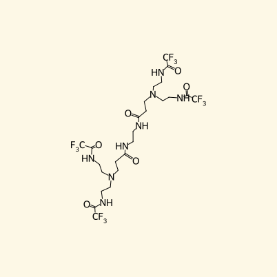 O=C(CCN(CCNC(=O)C(F)(F)F)CCNC(=O)C(F)(F)F)NCCNC(=O)CCN(CCNC(=O)C(F)(F)F)CCNC(=O)C(F)(F)F